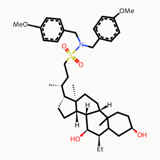 CC[C@@H]1C2C[C@H](O)CCC2(C)[C@H]2CC[C@]3(C)[C@@H]([C@H](C)CCS(=O)(=O)N(Cc4ccc(OC)cc4)Cc4ccc(OC)cc4)CC[C@H]3[C@H]2[C@@H]1O